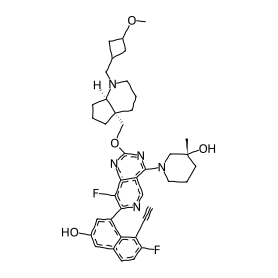 C#Cc1c(F)ccc2cc(O)cc(-c3ncc4c(N5CCC[C@@](C)(O)C5)nc(OC[C@]56CCC[C@H]5N(CC5CC(OC)C5)CCC6)nc4c3F)c12